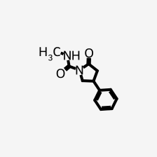 CNC(=O)N1CC(c2ccccc2)CC1=O